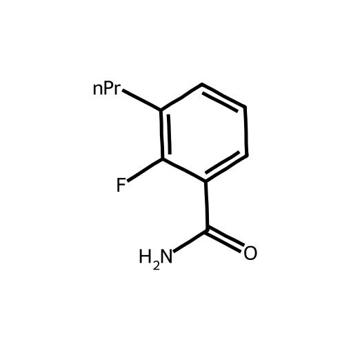 CCCc1cccc(C(N)=O)c1F